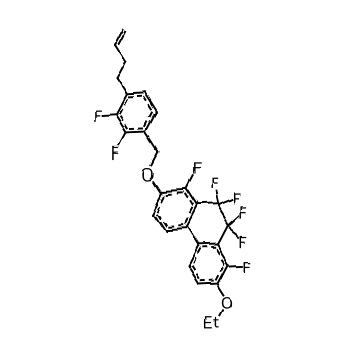 C=CCCc1ccc(COc2ccc3c(c2F)C(F)(F)C(F)(F)c2c-3ccc(OCC)c2F)c(F)c1F